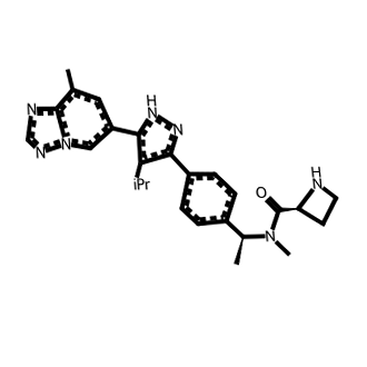 Cc1cc(-c2[nH]nc(-c3ccc([C@H](C)N(C)C(=O)[C@@H]4CCN4)cc3)c2C(C)C)cn2ncnc12